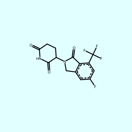 O=C1CCC(N2Cc3cc(F)cc(C(F)(F)F)c3C2=O)C(=O)N1